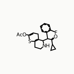 CC(=O)OC1=CCC2=C(CCNC2C(C(=O)C2CC2)c2ccccc2F)S1